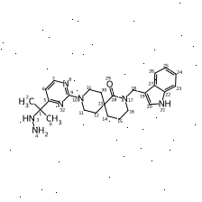 CC(C)(NN)c1ccnc(N2CCC3(CCCN(Cc4c[nH]c5ccccc45)C3=O)CC2)n1